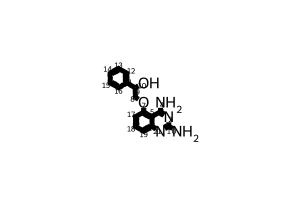 Nc1nc(N)c2c(OCC(O)c3ccccc3)cccc2n1